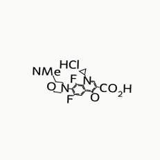 CNCC1CN(c2c(F)cc3c(=O)c(C(=O)O)cn(C4CC4)c3c2F)CCO1.Cl